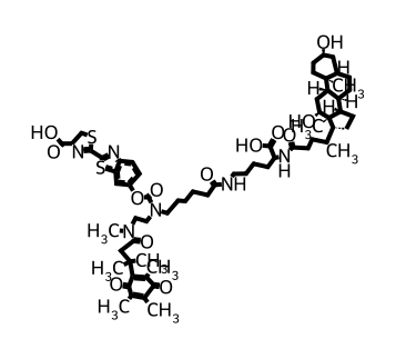 CC1=C(C)C(=O)C(C(C)(C)CC(=O)N(C)CCN(CCCCCC(=O)NCCCCC(NC(=O)CC[C@@H](C)[C@H]2CC[C@H]3[C@@H]4CC[C@@H]5C[C@H](O)CC[C@]5(C)[C@H]4C[C@H](O)[C@]23C)C(=O)O)C(=O)Oc2ccc3nc(C4=NC(C(=O)O)CS4)sc3c2)=C(C)C1=O